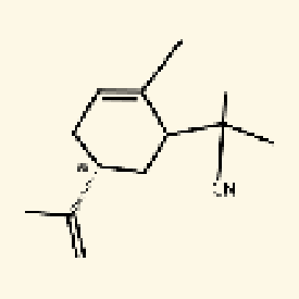 C=C(C)[C@@H]1CC=C(C)C(C(C)(C)C#N)C1